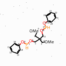 COCC(COC)(COPOc1ccccc1)COPOc1ccccc1